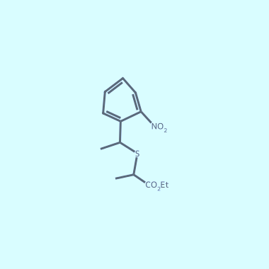 CCOC(=O)C(C)SC(C)c1ccccc1[N+](=O)[O-]